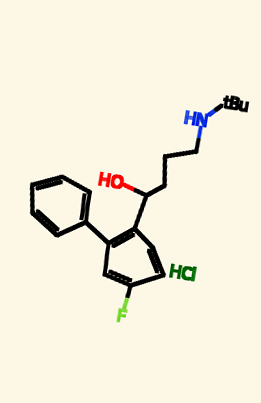 CC(C)(C)NCCCC(O)c1ccc(F)cc1-c1ccccc1.Cl